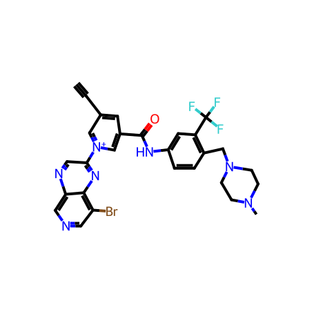 C#Cc1cc(C(=O)Nc2ccc(CN3CCN(C)CC3)c(C(F)(F)F)c2)c[n+](-c2cnc3cncc(Br)c3n2)c1